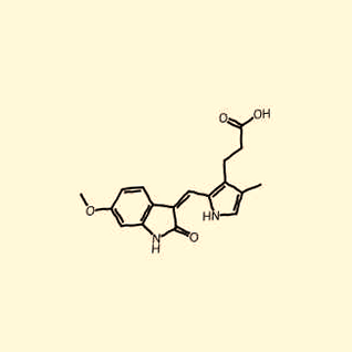 COc1ccc2c(c1)NC(=O)C2=Cc1[nH]cc(C)c1CCC(=O)O